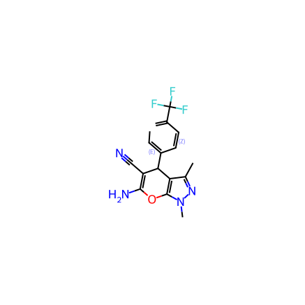 C=C(/C=C\C(=C/C)C1C(C#N)=C(N)Oc2c1c(C)nn2C)C(F)(F)F